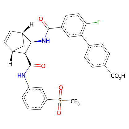 O=C(O)c1ccc(-c2cc(C(=O)N[C@H]3[C@@H](C(=O)Nc4cccc(S(=O)(=O)C(F)(F)F)c4)[C@@H]4C=C[C@H]3C4)ccc2F)cc1